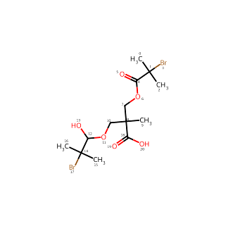 CC(C)(Br)C(=O)OCC(C)(COC(O)C(C)(C)Br)C(=O)O